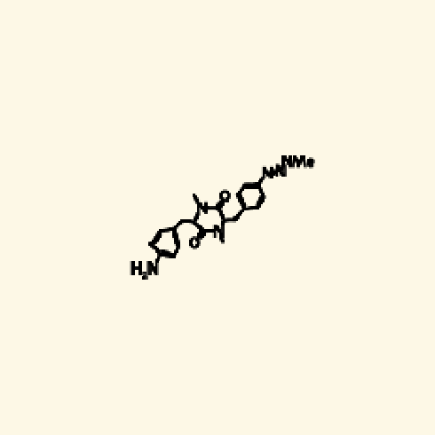 CN/N=N/c1ccc(CC2C(=O)N(C)C(Cc3ccc(N)cc3)C(=O)N2C)cc1